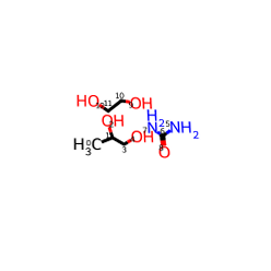 CC(O)CO.NC(N)=O.OCCO